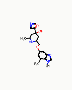 CC1CC(O)(c2cnco2)CC(COc2cc(C(F)(F)F)c3c(c2)ncn3C(C)C)N1